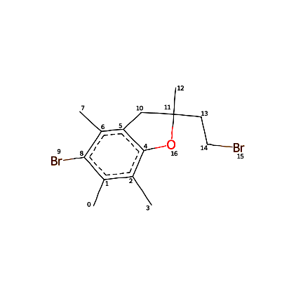 Cc1c(C)c2c(c(C)c1Br)CC(C)(CCBr)O2